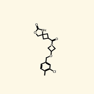 Cc1ccc(COC2CN(C(=O)C3CC4(COC(=O)N4)C3)C2)cc1Cl